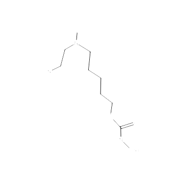 CCN(CCN)CCCCCOC(=O)NC(C)(C)C